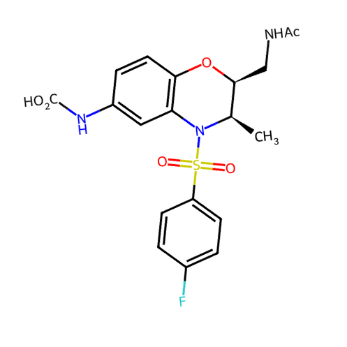 CC(=O)NC[C@@H]1Oc2ccc(NC(=O)O)cc2N(S(=O)(=O)c2ccc(F)cc2)[C@@H]1C